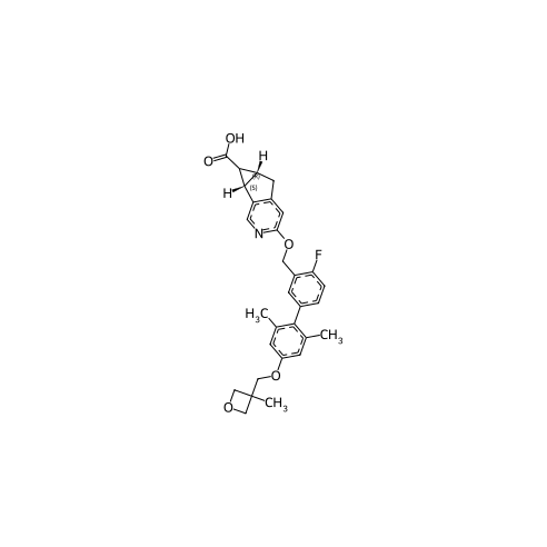 Cc1cc(OCC2(C)COC2)cc(C)c1-c1ccc(F)c(COc2cc3c(cn2)[C@@H]2C(C(=O)O)[C@@H]2C3)c1